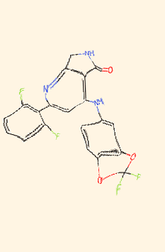 O=C1NCc2nc(-c3c(F)cccc3F)cc(Nc3ccc4c(c3)OC(F)(F)O4)c21